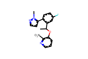 CC(Oc1cccnc1[N+](=O)[O-])c1cc(F)ccc1-c1ccnn1C